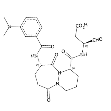 CN(C)c1cccc(C(=O)N[C@H]2CCC(=O)N3CCC[C@@H](C(=O)N[C@H](C=O)CC(=O)O)N3C2=O)c1